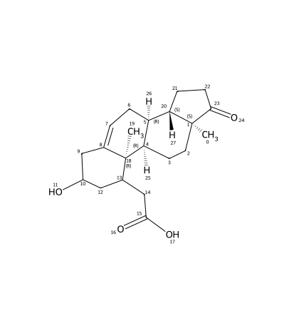 C[C@]12CC[C@@H]3[C@@H](CC=C4CC(O)CC(CC(=O)O)[C@@]43C)[C@@H]1CCC2=O